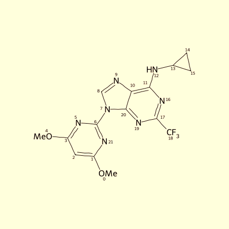 COc1cc(OC)nc(-n2cnc3c(NC4CC4)nc(C(F)(F)F)nc32)n1